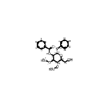 CCCCOC1C(OC(=O)c2ccccc2)[C@H](Sc2ccccc2)OC(CO)[C@@H]1OCCCC